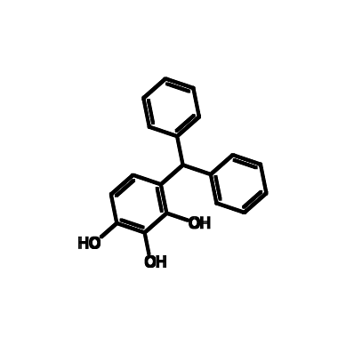 Oc1ccc(C(c2ccccc2)c2ccccc2)c(O)c1O